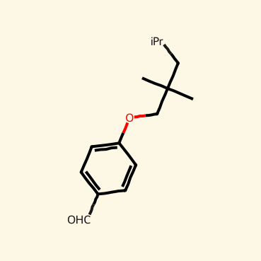 CC(C)CC(C)(C)COc1ccc(C=O)cc1